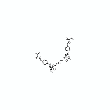 C=C(C)C(=O)OCc1ccc(/N=N/P(=O)(OC)OCCOCCOP(=O)(/N=N/c2ccc(COC(=O)C(=C)C)cc2)OC)cc1